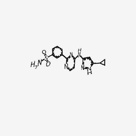 NS(=O)(=O)c1cccc(-c2nccc(Nc3cc(C4CC4)[nH]n3)n2)c1